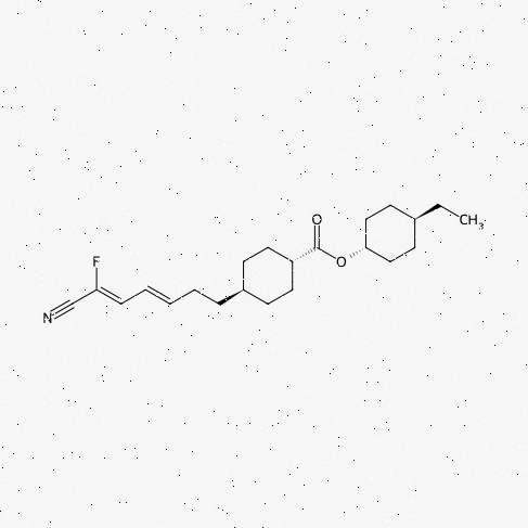 CC[C@H]1CC[C@H](OC(=O)[C@H]2CC[C@H](CCC=CC=C(F)C#N)CC2)CC1